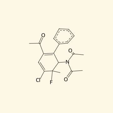 CC(=O)C1=C(c2ccccc2)C(N(C(C)=O)C(C)=O)C(C)(F)C(Cl)=C1